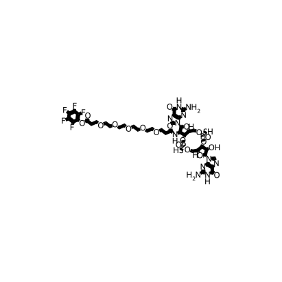 Nc1nc2c(ncn2[C@@H]2O[C@@H]3COP(=O)(S)OC4C(NC(=O)CCOCCOCCOCCOCCOCCC(=O)Oc5c(F)c(F)c(F)c(F)c5F)[C@H](n5cnc6c(=O)[nH]c(N)nc65)O[C@@H]4COP(=O)(S)OC3C2O)c(=O)[nH]1